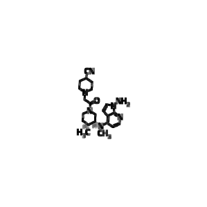 C[C@@H]1CCN(C(=O)CN2CCC(C#N)CC2)C[C@@H]1N(C)c1ccnc2c1ccn2N